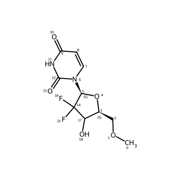 COC[C@@H]1O[C@H](n2ccc(=O)[nH]c2=O)C(F)(F)C1O